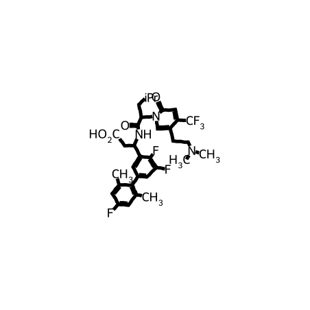 Cc1cc(F)cc(C)c1-c1cc(F)c(F)c(C(CC(=O)O)NC(=O)C(CC(C)C)n2cc(CCN(C)C)c(C(F)(F)F)cc2=O)c1